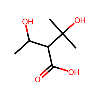 CC(O)C(C(=O)O)C(C)(C)O